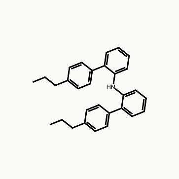 CCCc1ccc(-c2ccccc2Nc2ccccc2-c2ccc(CCC)cc2)cc1